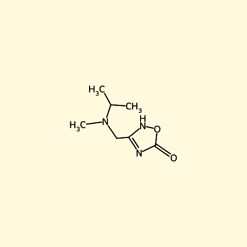 CC(C)N(C)Cc1nc(=O)o[nH]1